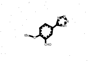 CC(C)(C)Oc1ccc(-c2nnn[nH]2)cc1C=O